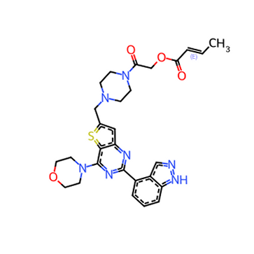 C/C=C/C(=O)OCC(=O)N1CCN(Cc2cc3nc(-c4cccc5[nH]ncc45)nc(N4CCOCC4)c3s2)CC1